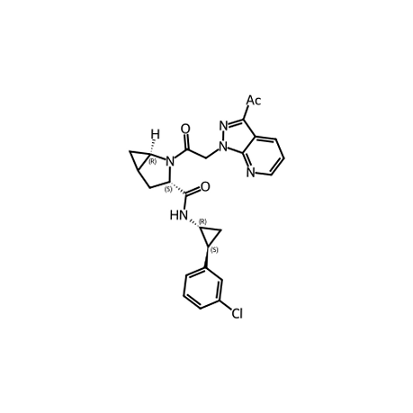 CC(=O)c1nn(CC(=O)N2[C@@H]3CC3C[C@H]2C(=O)N[C@@H]2C[C@H]2c2cccc(Cl)c2)c2ncccc12